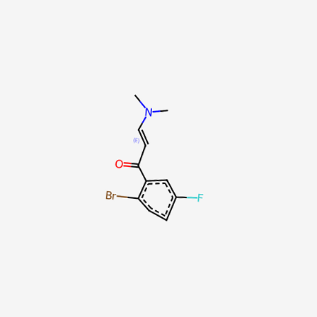 CN(C)/C=C/C(=O)c1cc(F)ccc1Br